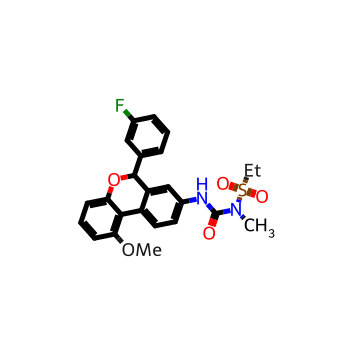 CCS(=O)(=O)N(C)C(=O)Nc1ccc2c(c1)C(c1cccc(F)c1)Oc1cccc(OC)c1-2